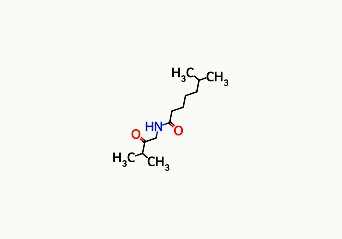 CC(C)CCCCC(=O)NCC(=O)C(C)C